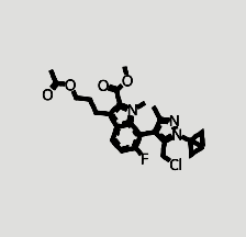 COC(=O)c1c(CCCOC(C)=O)c2ccc(F)c(-c3c(C)nn(C45CC4C5)c3CCl)c2n1C